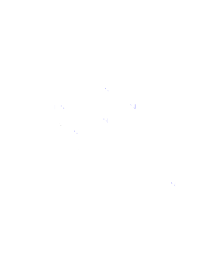 Cc1cc(C#N)ccc1Nc1ncc2[nH]c(=O)n(C3CCCOCC3)c2n1